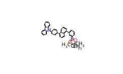 CC1(C)OB(c2cccc(-c3cccc4c(-c5ccc(-n6c7ccccc7c7ccccc76)cc5)cccc34)c2)OC1(C)C